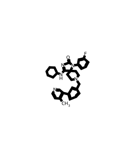 Cc1ccncc1-c1cccc(CN2CCC3(CC2)C(NC2CCCCC2)=NC(=O)N3c2cccc(F)c2)c1